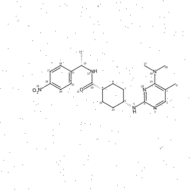 Cc1cnc(N[C@H]2CC[C@@H](C(=O)N[C@@H](C)c3ccc([N+](=O)[O-])cc3)CC2)nc1N(C)C